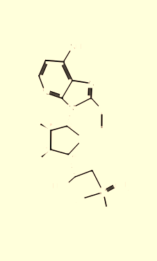 C=P(C)(C)CC(C)[C@H]1O[C@@H](n2c(SCC)nc3c(N)ccnc32)[C@H](O)[C@@H]1O